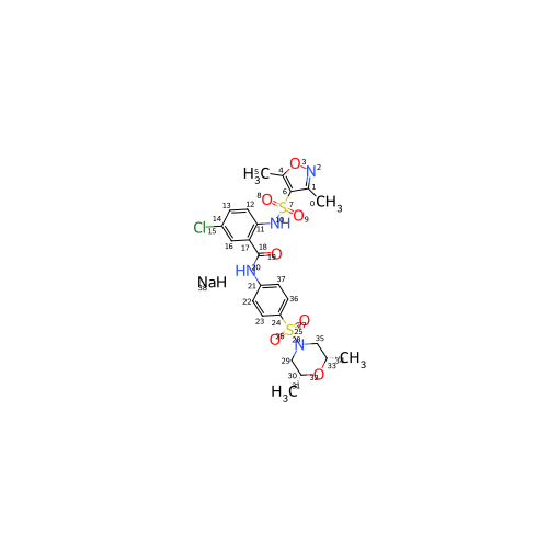 Cc1noc(C)c1S(=O)(=O)Nc1ccc(Cl)cc1C(=O)Nc1ccc(S(=O)(=O)N2C[C@@H](C)O[C@@H](C)C2)cc1.[NaH]